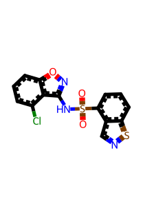 O=S(=O)(Nc1noc2cccc(Cl)c12)c1cccc2sncc12